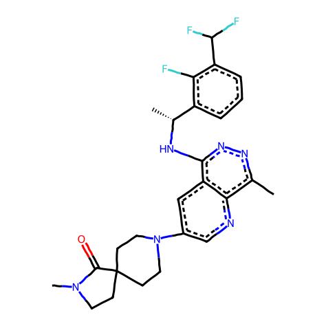 Cc1nnc(N[C@H](C)c2cccc(C(F)F)c2F)c2cc(N3CCC4(CCN(C)C4=O)CC3)cnc12